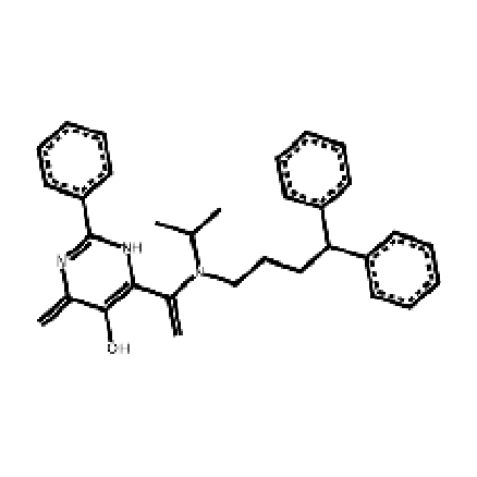 C=C1N=C(c2ccccc2)NC(C(=C)N(CCCC(c2ccccc2)c2ccccc2)C(C)C)=C1O